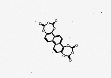 O=c1oc(=O)oc2c(ccc3c4ccc5oc(=O)oc(=O)oc5c4ccc32)o1